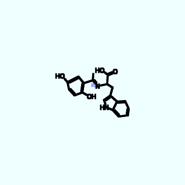 C/C(=N\C(Cc1c[nH]c2ccccc12)C(=O)O)c1cc(O)ccc1O